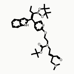 CC/C(B1OC(C)(C)C(C)(C)O1)=C(/c1ccc(OCCN(C/C=C(\C=O)CN(C)C)C(=O)OC(C)(C)C)nc1)c1cc2ccccc2[nH]1